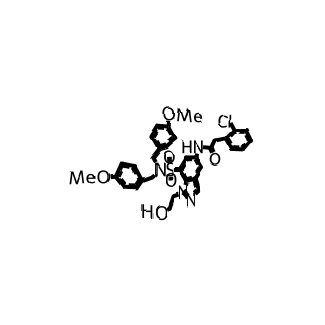 COc1ccc(CN(Cc2ccc(OC)cc2)S(=O)(=O)c2cc(NC(=O)Cc3ccccc3Cl)cc3cnn(CCO)c23)cc1